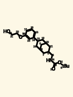 CC(C)(C)OC(=O)NCC1CC2CC(C1)CC(c1cccc(OCCO)c1)C2